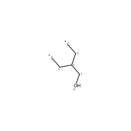 OCC(CI)CI